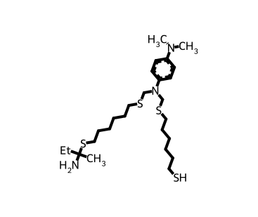 CCC(C)(N)SCCCCCCSCN(CSCCCCCCS)c1ccc(N(C)C)cc1